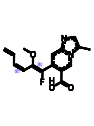 C=C/C=C\C(OC)=C(/F)c1cc2ncc(C)n2cc1C(=O)O